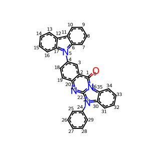 O=c1c2cc(-n3c4ccccc4c4ccccc43)ccc2nc2n(-c3ccccc3)c3ccccc3n12